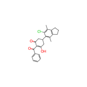 Cc1c(Cl)c(C2CC(=O)C(C(=O)c3ccccc3)=C(O)C2)c(C)c2c1CCC2